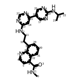 CNC(=O)c1ccnc2c(CCNc3cc(-c4cnc(NC(C)C)nc4)ncn3)cccc12